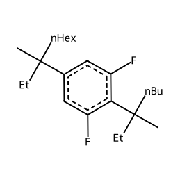 CCCCCCC(C)(CC)c1cc(F)c(C(C)(CC)CCCC)c(F)c1